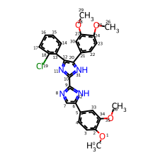 COc1ccc(-c2cnc(-c3nc(-c4ccccc4Cl)c(-c4ccc(OC)c(OC)c4)[nH]3)[nH]2)cc1OC